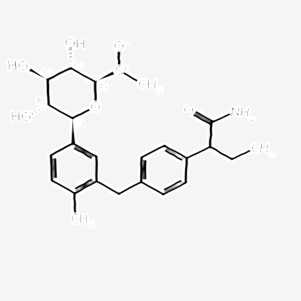 CCC(C(N)=O)c1ccc(Cc2cc([C@@H]3O[C@H]([S+](C)[O-])[C@@H](O)[C@H](O)[C@H]3O)ccc2C)cc1